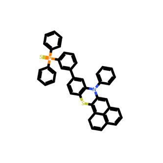 S=P(c1ccccc1)(c1ccccc1)c1cccc(-c2ccc3c(c2)N(c2ccccc2)c2cc4cccc5c4c(c2S3)CC=C5)c1